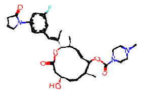 C/C(=C\c1cc(F)cc(N2CCCC2=O)c1)[C@H]1OC(=O)C[C@H](O)CC[C@H](C)C(OC(=O)N2CCN(C)CC2)/C=C/[C@@H]1C